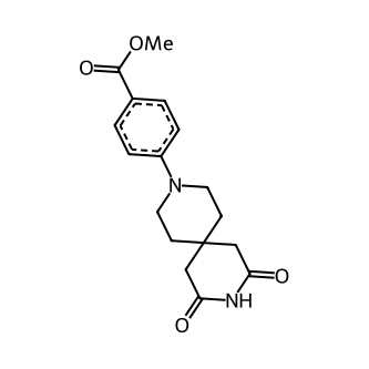 COC(=O)c1ccc(N2CCC3(CC2)CC(=O)NC(=O)C3)cc1